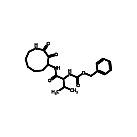 CC(C)C(NC(=O)OCc1ccccc1)C(=O)NC1CCCCCNC(=O)C1=O